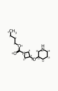 CCCCOC(=O)N1CC(OC2CCCNC2)C1